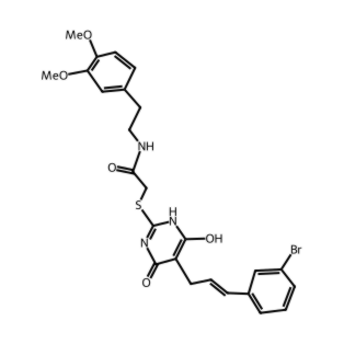 COc1ccc(CCNC(=O)CSc2nc(=O)c(CC=Cc3cccc(Br)c3)c(O)[nH]2)cc1OC